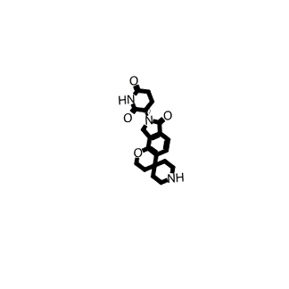 O=C1CC[C@@H](N2Cc3c(ccc4c3OCCC43CCNCC3)C2=O)C(=O)N1